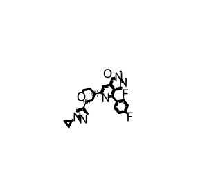 Cn1ncc2c(-c3ccc(F)cc3F)nc([C@@H]3CCO[C@H](c4cnn(C5CC5)c4)C3)cc2c1=O